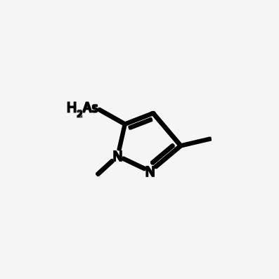 Cc1cc([AsH2])n(C)n1